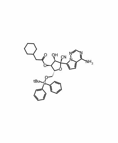 CC(C)(C)[Si](OC[C@H]1O[C@@](C#N)(c2ccc3c(N)ncnn23)[C@H](O)[C@@H]1OC(=O)CC1CCCCC1)(c1ccccc1)c1ccccc1